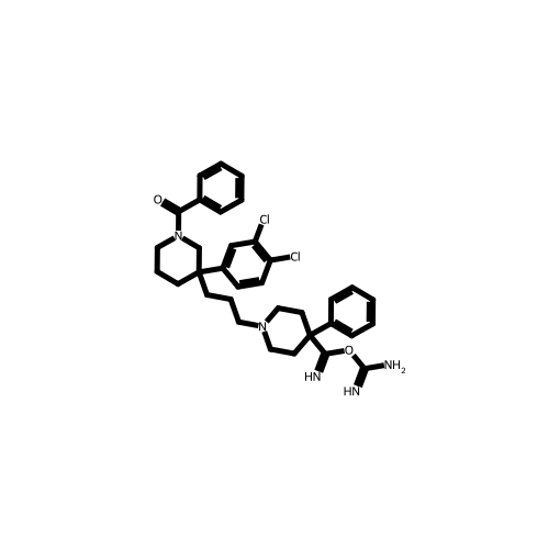 N=C(N)OC(=N)C1(c2ccccc2)CCN(CCCC2(c3ccc(Cl)c(Cl)c3)CCCN(C(=O)c3ccccc3)C2)CC1